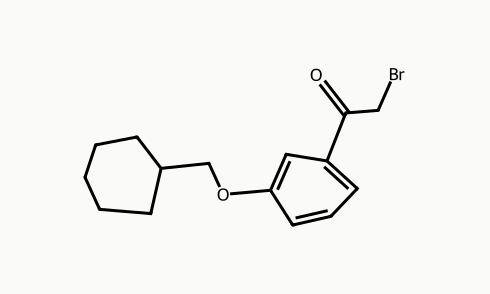 O=C(CBr)c1cccc(OCC2CCCCC2)c1